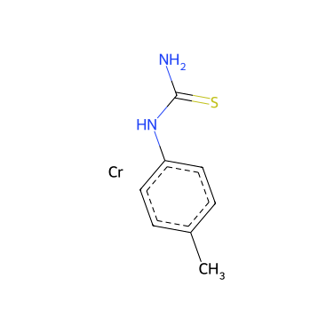 Cc1ccc(NC(N)=S)cc1.[Cr]